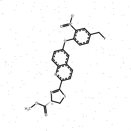 COC(=O)[C@H]1CSC(c2ccc3cc(Oc4ccc(CF)cc4[N+](=O)[O-])ccc3n2)=N1